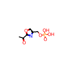 CC(=O)c1nc(COP(=O)(O)O)co1